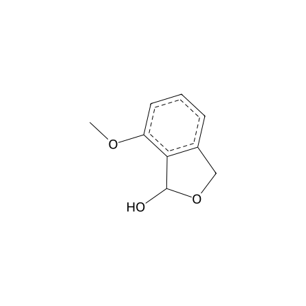 COc1cccc2c1C(O)OC2